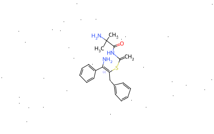 C=C(NC(=O)C(C)(C)N)S/C(Cc1ccccc1)=C(\N)c1ccccc1